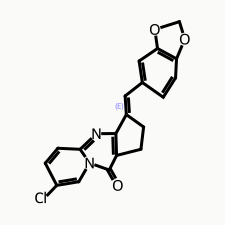 O=c1c2c(nc3ccc(Cl)cn13)/C(=C/c1ccc3c(c1)OCO3)CC2